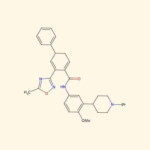 COc1ccc(NC(=O)C2=CCC(c3ccccc3)C=C2c2noc(C)n2)cc1C1CCN(C(C)C)CC1